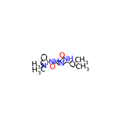 Cc1ccc(-c2cn3cc(C(=O)NC(CN(C)C)c4ccccc4)cc3c(=O)[nH]2)cc1C